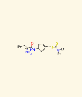 CCN(CC)C(=S)SCc1ccc(NC(=O)[C@@H](N)CC(C)C)cc1